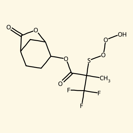 CC(SOOO)(C(=O)OC1CCC2CC1OC2=O)C(F)(F)F